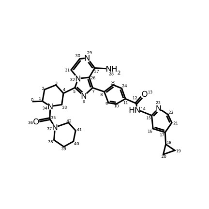 CC1CCC(c2nc(-c3ccc(C(=O)Nc4cc(C5CC5)ccn4)cc3)c3c(N)nccn23)CN1C(=O)N1CCCCC1